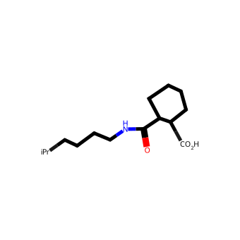 CC(C)CCCCNC(=O)C1CCCCC1C(=O)O